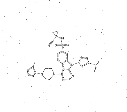 Cn1ccnc1N1CCN(c2ncnc3c2c2ccc(S(=O)(=O)NC4(C#N)CC4)cc2n3-c2nnc(C(F)F)s2)CC1